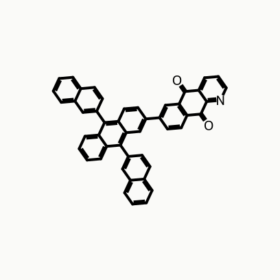 O=C1c2cc(-c3ccc4c(-c5ccc6ccccc6c5)c5ccccc5c(-c5ccc6ccccc6c5)c4c3)ccc2C(=O)c2ncccc21